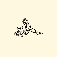 O=C(Nc1nccs1)c1nc(Sc2nnc[nH]2)ccc1SC1CCC(O)CC1